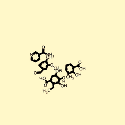 CCc1c(C(=O)O)cc(O)c(O)c1O.COc1cc(C=O)ccc1O.Cc1cccc(C(=O)O)c1O.NC(=O)c1cccnc1